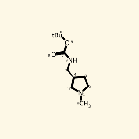 CN1CC[C@H](CNC(=O)OC(C)(C)C)C1